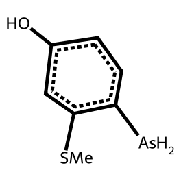 CSc1cc(O)ccc1[AsH2]